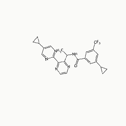 CC(NC(=O)c1cc(C2CC2)cc(C(F)(F)F)c1)c1nccnc1-c1ncc(C2CC2)cn1